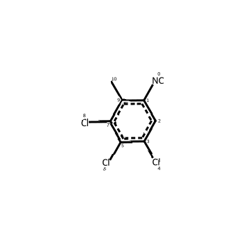 [C-]#[N+]c1cc(Cl)c(Cl)c(Cl)c1C